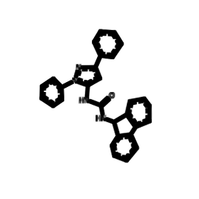 O=C(Nc1cc(-c2ccccc2)nn1-c1ccccc1)NC1c2ccccc2-c2ccccc21